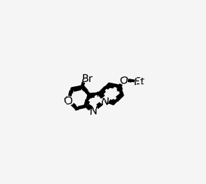 CCOc1ccn2nc3c(c2c1)C(Br)=COC3